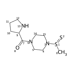 CS(=S)N1CCN(C(=O)C2CCCN2)CC1